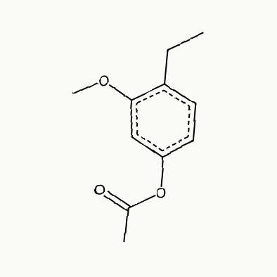 CCc1ccc(OC(C)=O)cc1OC